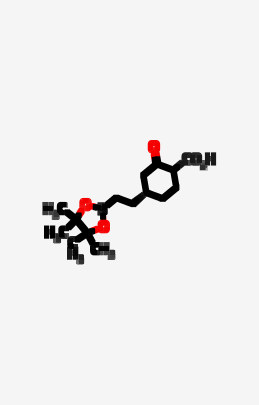 CC1(C)OB(CC[C@@H]2CCC(C(=O)O)C(=O)C2)OC1(C)C